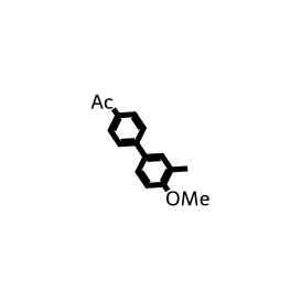 COc1ccc(-c2ccc(C(C)=O)cc2)cc1C